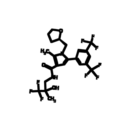 Cc1c(C(=O)NCC(C)(O)C(F)(F)F)cc(-c2cc(C(F)(F)F)cc(C(F)(F)F)c2)n1C[C@H]1CCCO1